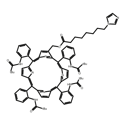 CC(C)(C)C(=O)Nc1ccccc1C1=C2C=CC(=N2)C(c2ccccc2NC(=O)C(C)(C)C)=C2C=C(COC(=O)CCCCCCCn3ccnc3)C(=N2)C(c2ccccc2NC(=O)C(C)(C)C)=C2C=CC(=N2)C(c2ccccc2NC(=O)C(C)(C)C)=C2C=CC1=N2